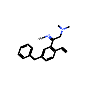 C=Cc1ccc(Cc2ccccc2)cc1/C(CN(C)C)=N\CCC